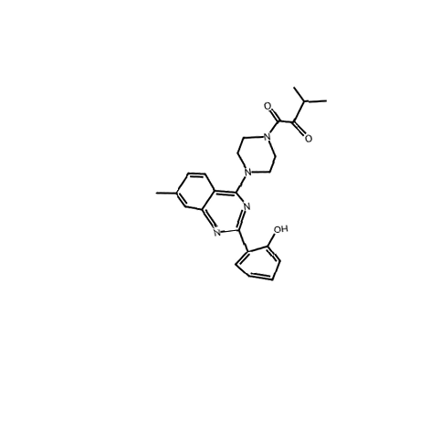 Cc1ccc2c(N3CCN(C(=O)C(=O)C(C)C)CC3)nc(-c3ccccc3O)nc2c1